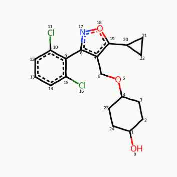 OC1CCC(OCc2c(-c3c(Cl)cccc3Cl)noc2C2CC2)CC1